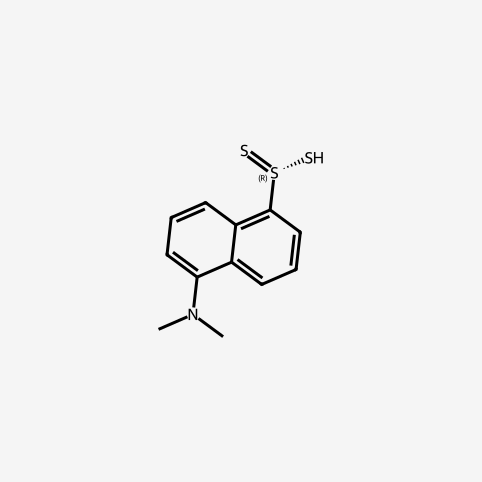 CN(C)c1cccc2c([S@](=S)S)cccc12